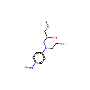 COCC(O)CN(CCO)c1ccc(N=O)cc1